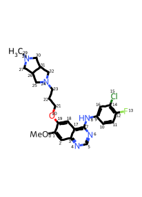 COc1cc2ncnc(Nc3ccc(F)c(Cl)c3)c2cc1OCCCN1CC2CN(C)CC2C1